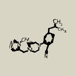 CC(C)Cc1ccc(C#N)c(N2CCN(Cc3cncn3C)CC2)c1